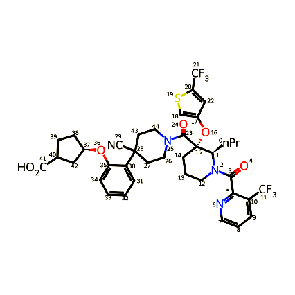 CCC[C@H]1N(C(=O)c2ncccc2C(F)(F)F)CCC[C@@]1(Oc1csc(C(F)(F)F)c1)C(=O)N1CCC(C#N)(c2ccccc2O[C@@H]2CCC(C(=O)O)C2)CC1